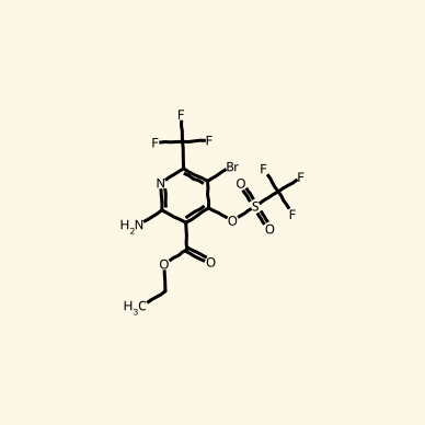 CCOC(=O)c1c(N)nc(C(F)(F)F)c(Br)c1OS(=O)(=O)C(F)(F)F